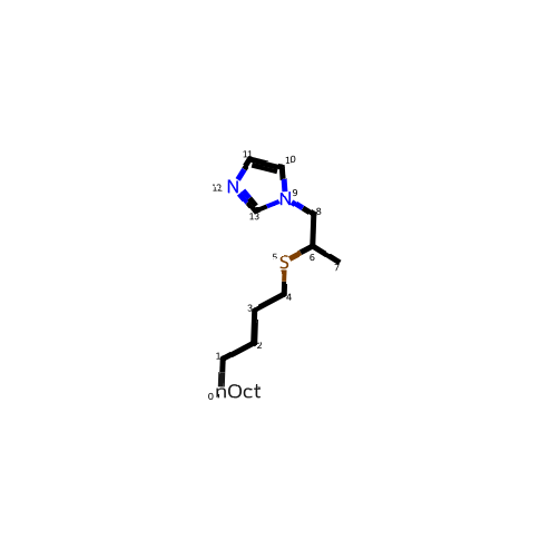 CCCCCCCCCCCCSC(C)Cn1ccnc1